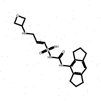 N=S(=O)(/C=C/CNC1COC1)NC(=O)Nc1c2c(cc3c1CCC3)CCC2